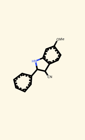 COc1ccc2c(c1)NC(c1ccccc1)C2C#N